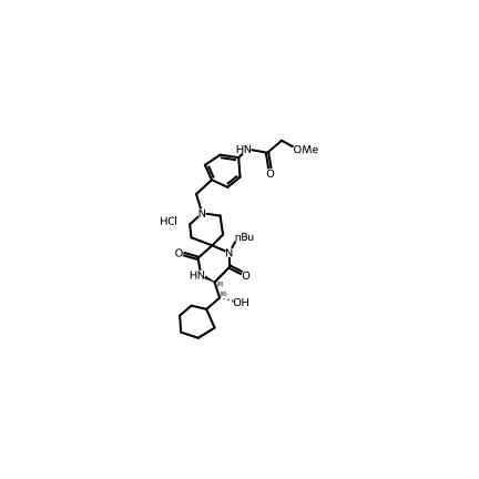 CCCCN1C(=O)[C@@H]([C@H](O)C2CCCCC2)NC(=O)C12CCN(Cc1ccc(NC(=O)COC)cc1)CC2.Cl